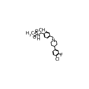 C[C@@H](NS(C)(=O)=O)c1ccc(CN2CCC(c3ccc(Cl)c(F)c3)CC2)cc1